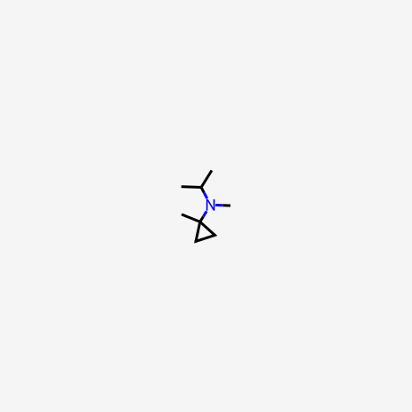 CC(C)N(C)C1(C)CC1